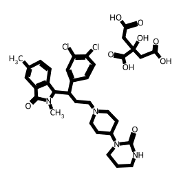 Cc1ccc2c(c1)C(=O)N(C)C2C(CCN1CCC(N2CCCNC2=O)CC1)c1ccc(Cl)c(Cl)c1.O=C(O)CC(O)(CC(=O)O)C(=O)O